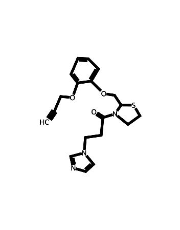 C#CCOc1ccccc1OCC1SCCN1C(=O)CCn1ccnc1